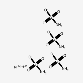 NS(=O)(=O)[O-].NS(=O)(=O)[O-].NS(=O)(=O)[O-].NS(=O)(=O)[O-].[Fe+2].[Ni+2]